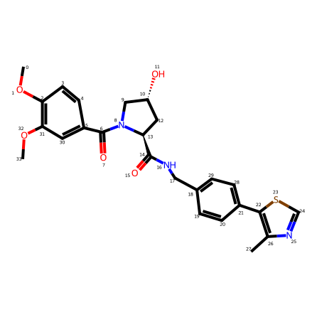 COc1ccc(C(=O)N2C[C@H](O)C[C@H]2C(=O)NCc2ccc(-c3scnc3C)cc2)cc1OC